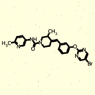 Cc1ccc(NC(=O)N2CCC(=Cc3cccc(Oc4ncc(Br)cn4)c3)C(C)C2)cn1